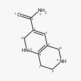 NC(=O)C1=CC2=C(CCNC2)NC1